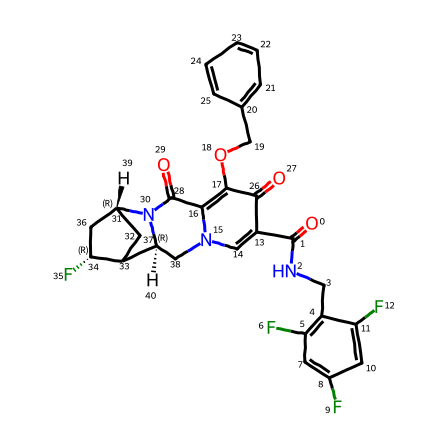 O=C(NCc1c(F)cc(F)cc1F)c1cn2c(c(OCc3ccccc3)c1=O)C(=O)N1[C@@H]3CC([C@H](F)C3)[C@@H]1C2